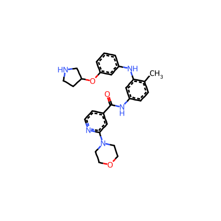 Cc1ccc(NC(=O)c2ccnc(N3CCOCC3)c2)cc1Nc1cccc(OC2CCNC2)c1